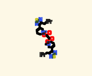 CC(C)Cc1nsnc1C1=CCC[N+](C)(OC(=O)C(=O)O[N+]2(C)CCC=C(c3nsnc3CC(C)C)C2)C1